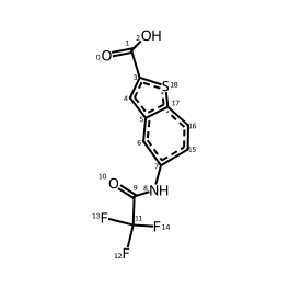 O=C(O)c1cc2cc(NC(=O)C(F)(F)F)ccc2s1